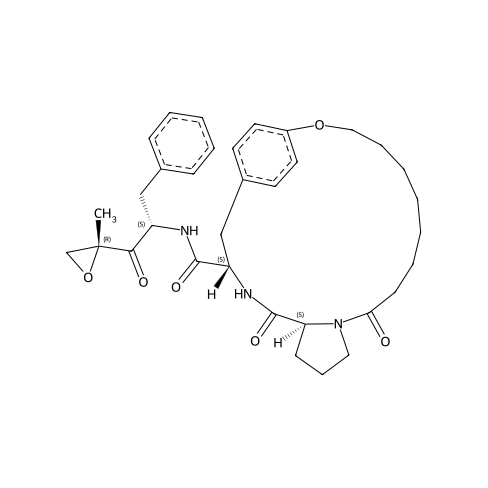 C[C@]1(C(=O)[C@H](Cc2ccccc2)NC(=O)[C@@H]2Cc3ccc(cc3)OCCCCCCCC(=O)N3CCC[C@H]3C(=O)N2)CO1